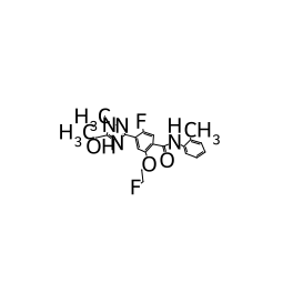 Cc1ccccc1NC(=O)c1cc(F)c(-c2nc(C(C)O)n(C)n2)cc1OCCF